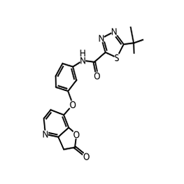 CC(C)(C)c1nnc(C(=O)Nc2cccc(Oc3ccnc4c3OC(=O)C4)c2)s1